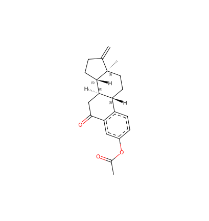 C=C1CC[C@H]2[C@@H]3CC(=O)c4cc(OC(C)=O)ccc4[C@H]3CC[C@]12C